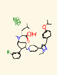 CCn1nc(Cc2ccc(OC(C)C)cc2)cc1C1CCN(CC2CC(N(C)[C@H](CC(C)C)C(=O)O)CC2c2cccc(F)c2)CC1.Cl.Cl.Cl